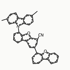 Cc1ccc2c(c1)c1ccc(C)cc1n2-c1cccc2c1oc1c(C#N)cc(-c3cccc4c3oc3ccccc34)cc12